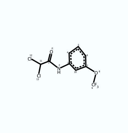 O=C(Nc1cccc(OC(F)(F)F)c1)C(Cl)Cl